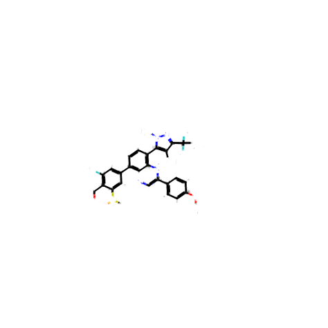 Cc1c(C(C)(F)F)nn(C)c1-c1ccc(-c2cc(F)c(CO)c([S+](C)[O-])c2)cc1N/C(=C\N)c1ccc(OC(F)(F)F)cc1